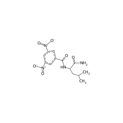 CC(C)CC(NC(=O)c1cc([N+](=O)[O-])cc([N+](=O)[O-])c1)C(N)=O